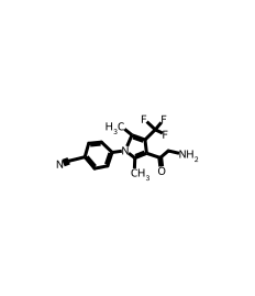 Cc1c(C(=O)CN)c(C(F)(F)F)c(C)n1-c1ccc(C#N)cc1